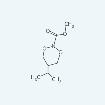 COC(=O)N1OCC(C(C)C)CO1